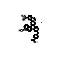 CC(=N)N1CCC(Oc2ccc(N(Cc3ccc4ccc(C(=N)N)cc4c3)C(=O)c3cccc4ccccc34)cc2)CC1.Cl.Cl